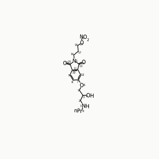 CCCNCC(O)COc1ccc2c(c1)C(=O)N(CCCO[N+](=O)[O-])C2=O